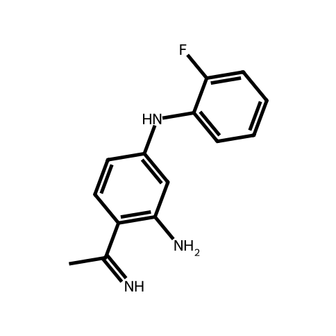 CC(=N)c1ccc(Nc2ccccc2F)cc1N